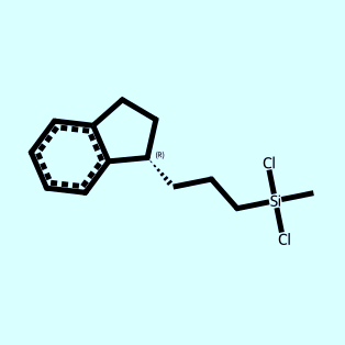 C[Si](Cl)(Cl)CCC[C@H]1CCc2ccccc21